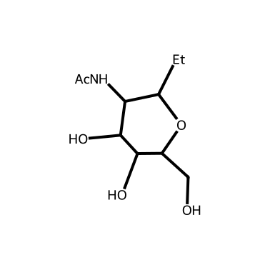 CCC1OC(CO)C(O)C(O)C1NC(C)=O